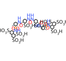 Cc1ccc(NC(=O)c2ccc(NC(=O)Nc3ccc(C(=O)Nc4ccc(C)c(S(=O)(=O)Nc5cc(S(=O)(=O)O)cc6cc(S(=O)(=O)O)cc(S(=O)(=O)O)c56)c4)c(S(=O)(=O)O)c3)cc2S(=O)(=O)O)cc1S(=O)(=O)Nc1cc(S(=O)(=O)O)cc2cc(S(=O)(=O)O)cc(S(=O)(=O)O)c12